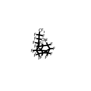 OC(F)(C(F)(F)OC1(C(F)(F)F)C2(F)C(F)(F)C3(F)C(F)(F)C(F)(C2(F)F)C(F)(F)C1(F)C3(F)F)C(F)(F)C(F)(F)F